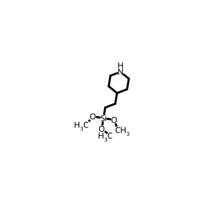 CO[Si](CCC1CCNCC1)(OC)OC